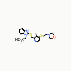 Cc1c(SCCN2CCOCC2)ccnc1CSc1nc2ccccc2n1CC(=O)O